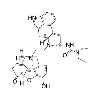 CCN(CC)C(=O)N[C@H]1C=C2c3cccc4[nH]cc(c34)C[C@H]2N(C)C1.CN1CC[C@]23c4c5ccc(O)c4O[C@H]2C(=O)CC[C@H]3[C@H]1C5